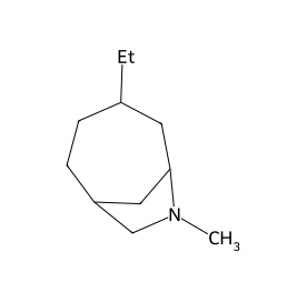 CCC1CCC2CC(C1)N(C)C2